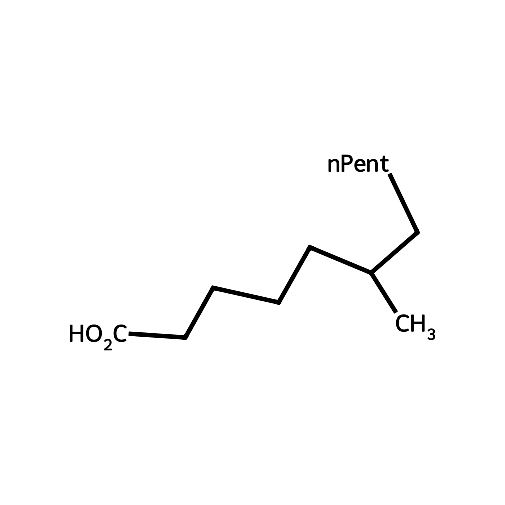 CCCCCCC(C)CCCCC(=O)O